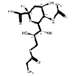 CCC(=O)SC[C@@H](O)[C@@H](O)C1O[C@](O)(C(=O)O)C[C@@H](O)[C@H]1NC(C)=O